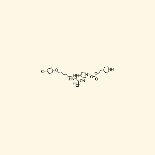 Cl.N#CN=C(NCCCCCCOc1ccc(Cl)cc1)Nc1cc[n+](COC(=O)OCCC2CCNCC2)cc1.[Cl-]